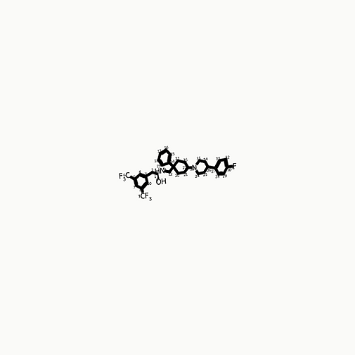 O[C@@H](Cc1cc(C(F)(F)F)cc(C(F)(F)F)c1)NCC1(c2ccccc2)CCC(N2CCC(c3ccc(F)cc3)CC2)CC1